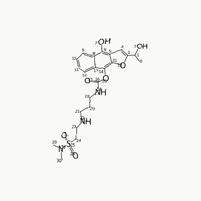 CC(O)c1cc2c(O)c3ccccc3c(OC(=O)NCCCNCCS(=O)(=O)N(C)C)c2o1